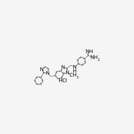 Cl.Cn1c(CNc2ccc(C(=N)N)cc2)nc2cc(Cn3ccnc3-c3ccccc3)ccc21